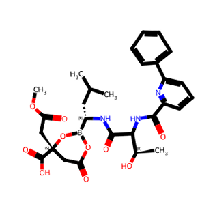 COC(=O)C[C@]1(C(=O)O)CC(=O)OB([C@H](CC(C)C)NC(=O)C(NC(=O)c2cccc(-c3ccccc3)n2)[C@@H](C)O)O1